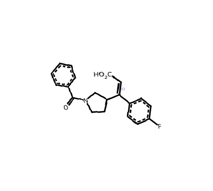 O=C(O)/C=C(/c1ccc(F)cc1)C1CCN(C(=O)c2ccccc2)C1